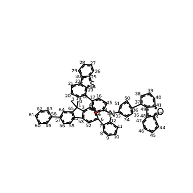 CC1(C)c2ccc(-c3ccccc3N(c3ccc(-c4cccc5c4sc4ccccc45)cc3)c3ccc(-c4cccc5oc6ccccc6c45)cc3)cc2-c2ccc(-c3ccccc3)cc21